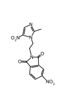 Cc1ncc([N+](=O)[O-])n1CCN1C(=O)c2ccc([N+](=O)[O-])cc2C1=O